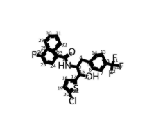 O=C(NC(Cc1ccc(C(F)(F)F)cc1)C(O)c1ccc(Cl)s1)c1ccc(F)c2ccccc12